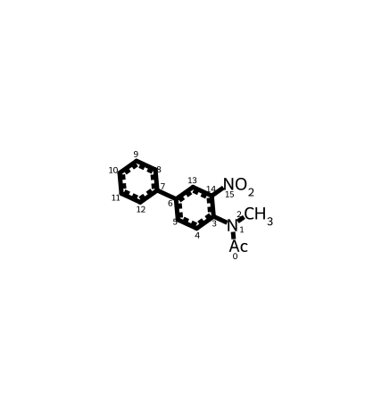 CC(=O)N(C)c1ccc(-c2ccccc2)cc1[N+](=O)[O-]